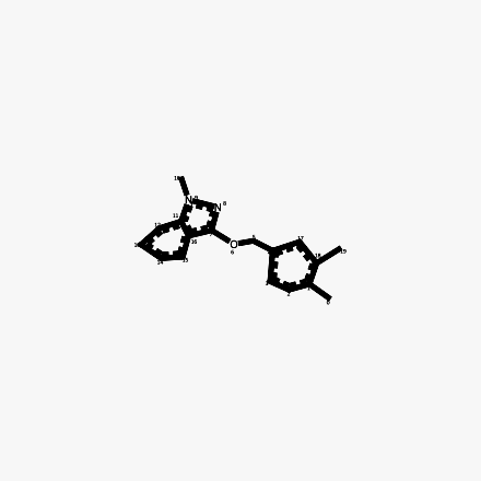 Cc1ccc(COc2nn(C)c3ccccc23)cc1C